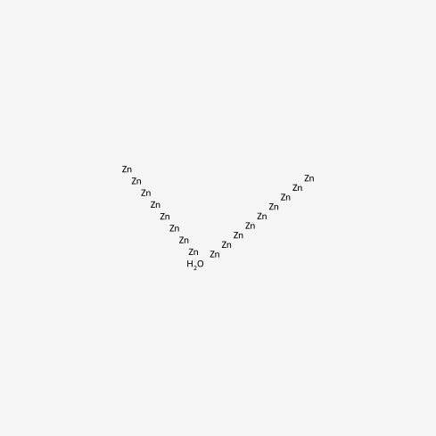 O.[Zn].[Zn].[Zn].[Zn].[Zn].[Zn].[Zn].[Zn].[Zn].[Zn].[Zn].[Zn].[Zn].[Zn].[Zn].[Zn].[Zn]